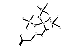 C=C(C)COCC(C)[Si](O[Si](C)(C)C)(O[Si](C)(C)C)O[Si](C)(C)C